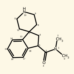 CN(C)C(=O)C1CC2(CCNCC2)c2ccccc21